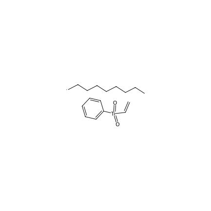 C=[CH][Ti](=[O])(=[O])[c]1ccccc1.[CH2]CCCCCCCC